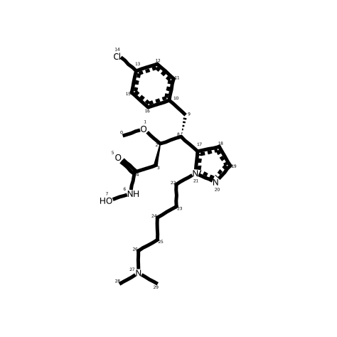 CO[C@H](CC(=O)NO)[C@H](Cc1ccc(Cl)cc1)c1ccnn1CCCCCN(C)C